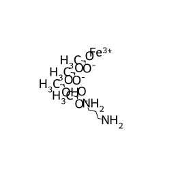 CC(=O)O.CC(=O)[O-].CC(=O)[O-].CC(=O)[O-].NCCCN.[Fe+3]